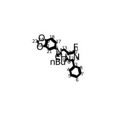 CCCCn1c(-c2ccccc2)nc(F)c1CN(C)c1ccc2c(c1)OCO2